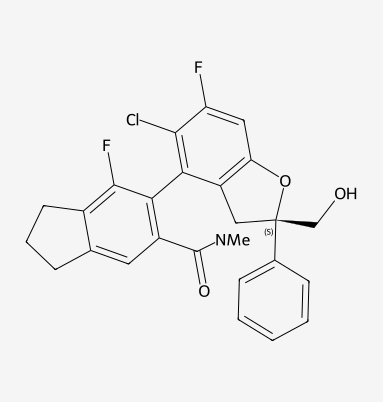 CNC(=O)c1cc2c(c(F)c1-c1c(Cl)c(F)cc3c1C[C@@](CO)(c1ccccc1)O3)CCC2